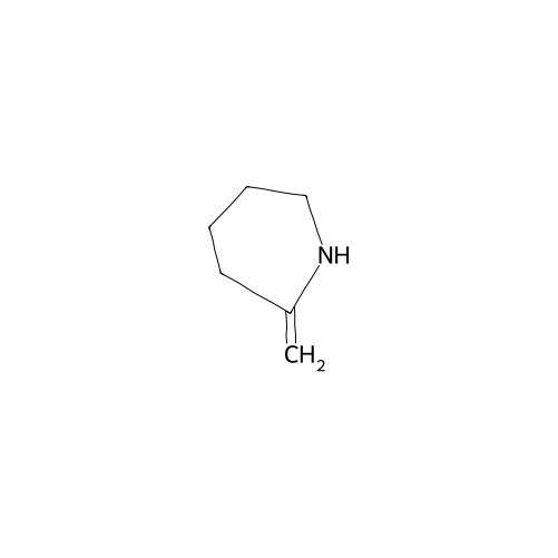 C=C1CCCCN1